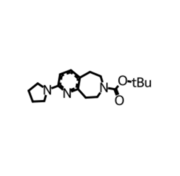 CC(C)(C)OC(=O)N1CCc2ccc(N3CCCC3)nc2CC1